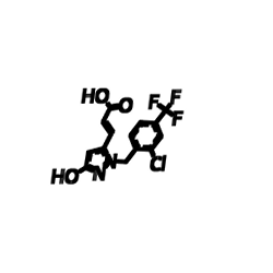 O=C(O)C=Cc1cc(O)nn1Cc1ccc(C(F)(F)F)cc1Cl